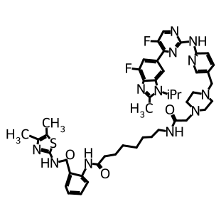 Cc1nc(NC(=O)c2ccccc2NC(=O)CCCCCCCNC(=O)CN2CCN(Cc3ccc(Nc4ncc(F)c(-c5cc(F)c6nc(C)n(C(C)C)c6c5)n4)nc3)CC2)sc1C